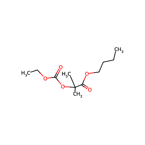 CCCCOC(=O)C(C)(C)OC(=O)OCC